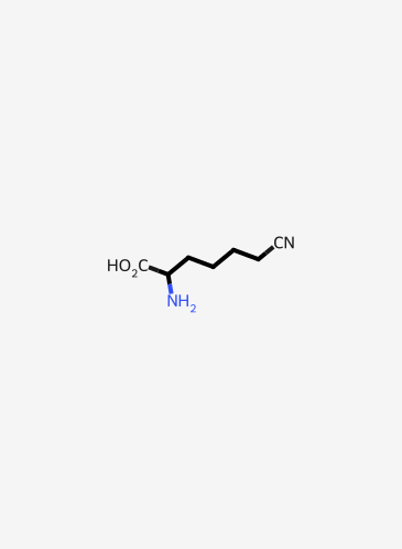 N#CCCCCC(N)C(=O)O